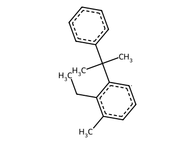 CCc1c(C(C)(C)c2ccccc2)[c]ccc1C